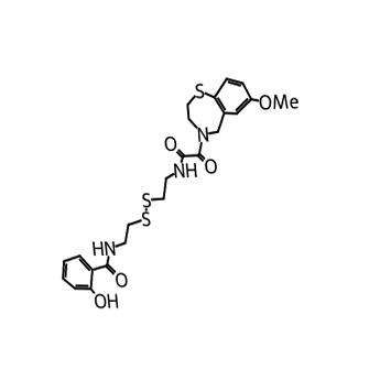 COc1ccc2c(c1)CN(C(=O)C(=O)NCCSSCCNC(=O)c1ccccc1O)CCS2